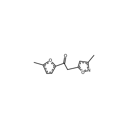 Cc1cc(CC(=O)c2ccc(C)o2)on1